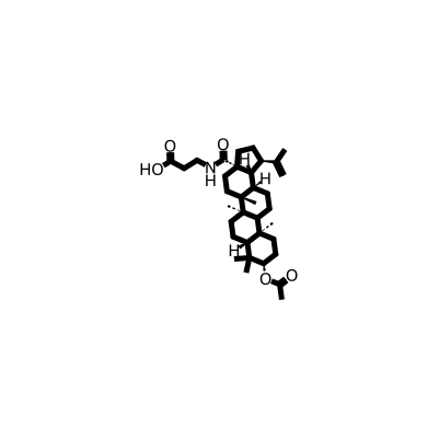 C=C(C)[C@@H]1CC[C@]2(C(=O)NCCC(=O)O)CC[C@]3(C)[C@H](CCC4[C@@]5(C)CC[C@H](OC(C)=O)C(C)(C)[C@@H]5CC[C@]43C)[C@@H]12